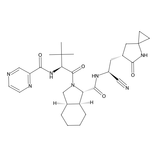 CC(C)(C)[C@H](NC(=O)c1cnccn1)C(=O)N1C[C@@H]2CCCC[C@@H]2[C@H]1C(=O)N[C@H](C#N)C[C@@H]1CC2(CC2)NC1=O